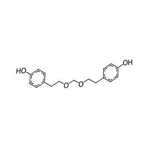 Oc1ccc(CCOCOCCc2ccc(O)cc2)cc1